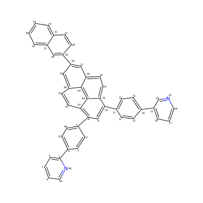 c1ccc(-c2ccc(-c3cc(-c4ccc(-c5cccnc5)cc4)c4ccc5cc(-c6ccc7ccccc7c6)cc6ccc3c4c56)cc2)nc1